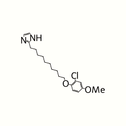 COc1ccc(OCCCCCCCCCCc2ncc[nH]2)c(Cl)c1